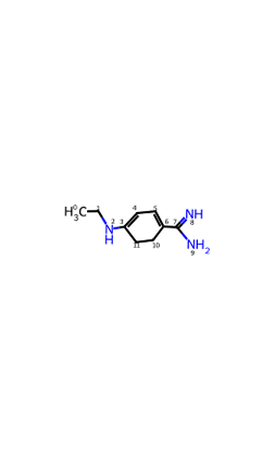 CCNC1=CC=C(C(=N)N)CC1